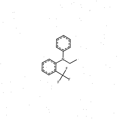 CCN(c1ccccc1)c1ccccc1C(F)(F)F